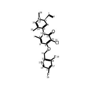 C=C[C@H]1C=C(n2c(C)cc(OCc3ncc(F)cc3F)c(Cl)c2=O)C(C)=CN1C